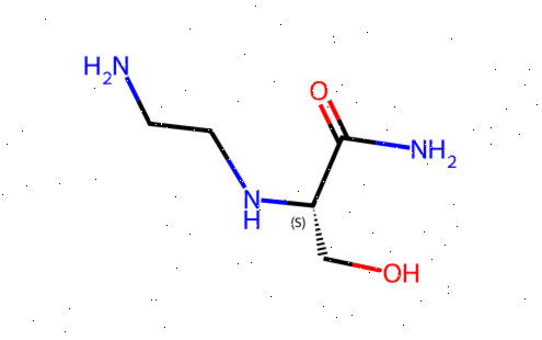 NCCN[C@@H](CO)C(N)=O